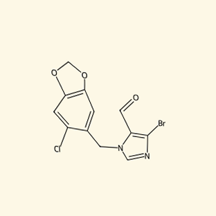 O=Cc1c(Br)ncn1Cc1cc2c(cc1Cl)OCO2